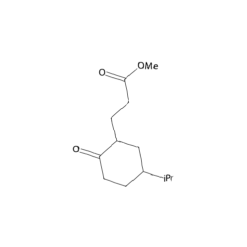 COC(=O)CCC1CC(C(C)C)CCC1=O